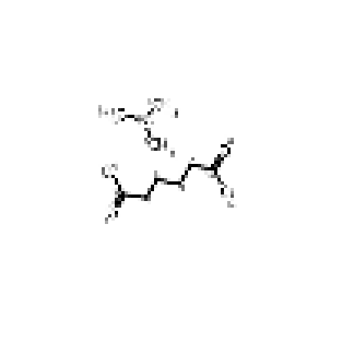 CN(C)C.O=C(Cl)CCCCC(=O)Cl